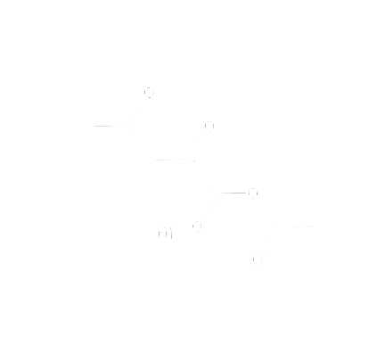 CC(=O)CC(=O)C(=O)OC(C)=O.[Hf]